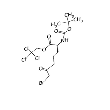 CC(C)(C)OC(=O)N[C@@H](CCCC(=O)CBr)C(=O)OCC(Cl)(Cl)Cl